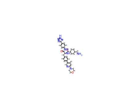 Cc1cc(N2CCOCC2)ncc1-c1ccc(C[C@H](NC(=O)[C@H]2CC[C@H](CN)CC2)C(=O)Nc2ccc(-c3nn[nH]n3)cc2)cc1